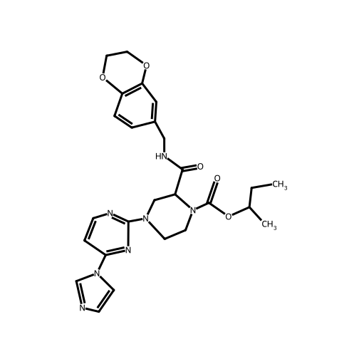 CCC(C)OC(=O)N1CCN(c2nccc(-n3ccnc3)n2)CC1C(=O)NCc1ccc2c(c1)OCCO2